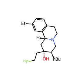 CCCC[C@@H]1CN2CCc3ccc(CC)cc3[C@H]2C[C@]1(O)CC[19F]